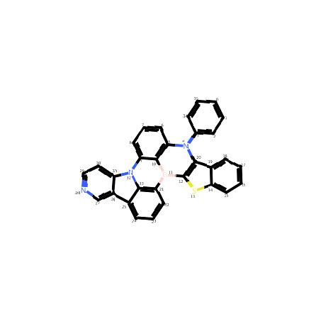 c1ccc(N2c3cccc4c3B(c3sc5ccccc5c32)c2cccc3c5cnccc5n-4c23)cc1